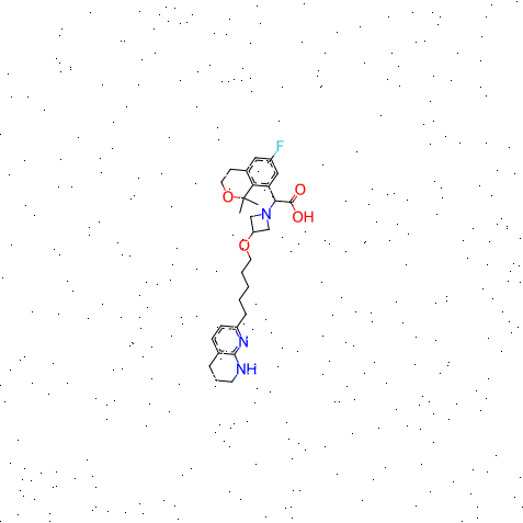 CC1(C)OCCc2cc(F)cc(C(C(=O)O)N3CC(OCCCCCc4ccc5c(n4)NCCC5)C3)c21